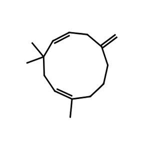 C=C1CC=CC(C)(C)CC=C(C)CCC1